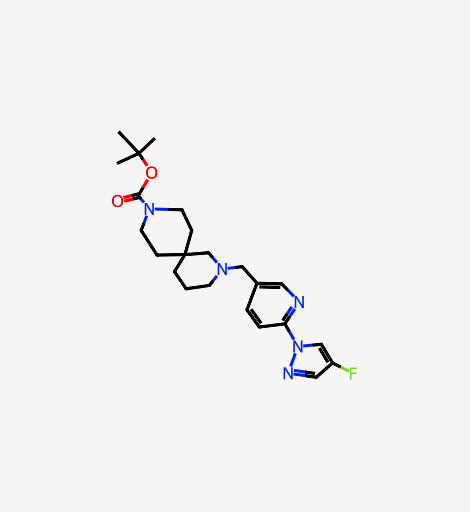 CC(C)(C)OC(=O)N1CCC2(CCCN(Cc3ccc(-n4cc(F)cn4)nc3)C2)CC1